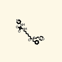 O=C(CCCCCCNc1c(Nc2ccncc2)c(=O)c1=O)N(Cc1ccccc1)OCCN1CCOCC1